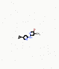 Cc1cc(Nc2ccc(C3CC3)cn2)ncc1Br